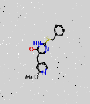 COc1cc(Cc2cnc(SCc3ccccc3)[nH]c2=O)ccn1